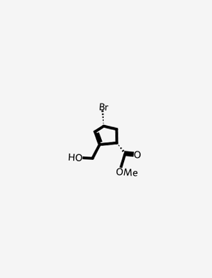 COC(=O)[C@H]1C[C@@H](Br)C=C1CO